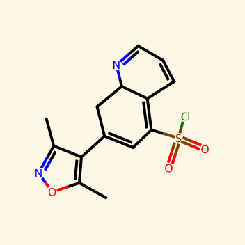 Cc1noc(C)c1C1=CC(S(=O)(=O)Cl)=C2C=CC=NC2C1